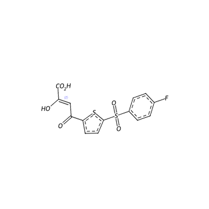 O=C(O)/C(O)=C/C(=O)c1ccc(S(=O)(=O)c2ccc(F)cc2)s1